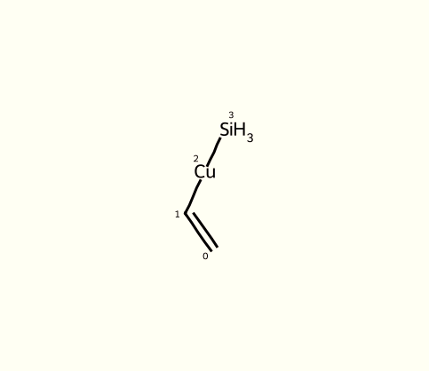 C=[CH][Cu][SiH3]